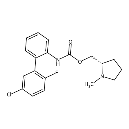 CN1CCC[C@H]1COC(=O)Nc1ccccc1-c1cc(Cl)ccc1F